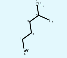 CC(C)CCCC(C)I